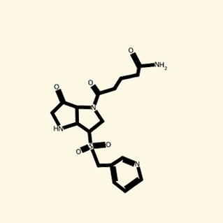 NC(=O)CC[CH]C(=O)N1CC(S(=O)(=O)Cc2cccnc2)C2NCC(=O)C21